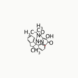 CC(C)N1CN(C23c4ccccc4CC2(C)Cc2ccccc23)n2ccc(=O)c(O)c2C1=O